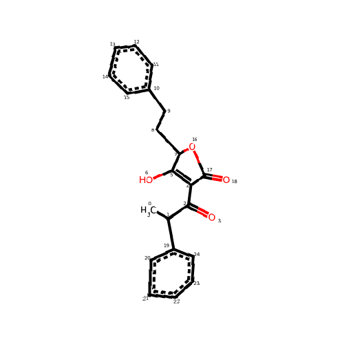 CC(C(=O)C1=C(O)C(CCc2ccccc2)OC1=O)c1ccccc1